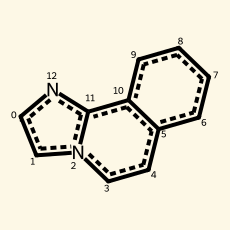 [c]1cn2ccc3ccccc3c2n1